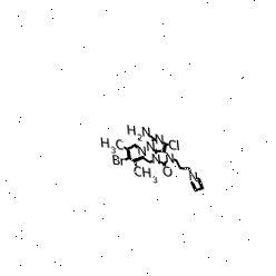 Cc1cnc(Cn2c(=O)n(CCCn3cccc3)c3c(Cl)nc(N)nc32)c(C)c1Br